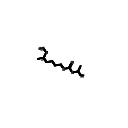 CC(C)C(C)OC(=O)OCCCC[C@@H](C)O[N+](=O)[O-]